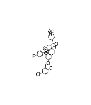 CC(=O)N1CCC(C(=O)C2CC[C@@]3(S(=O)(=O)c4ccc(F)cc4)c4ccc(OCc5cc(Cl)ccc5Cl)cc4CC[C@@H]23)CC1